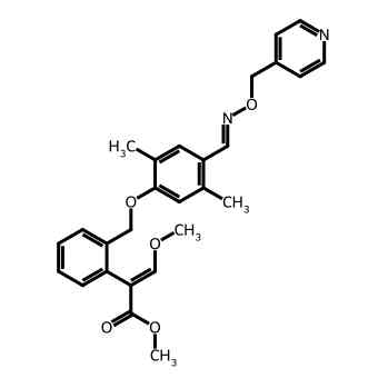 CO/C=C(/C(=O)OC)c1ccccc1COc1cc(C)c(/C=N/OCc2ccncc2)cc1C